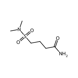 CN(C)S(=O)(=O)CCCC(N)=O